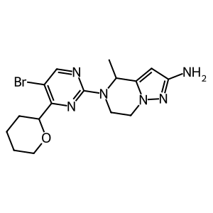 CC1c2cc(N)nn2CCN1c1ncc(Br)c(C2CCCCO2)n1